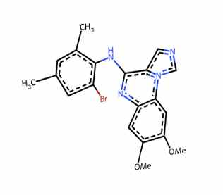 COc1cc2nc(Nc3c(C)cc(C)cc3Br)c3cncn3c2cc1OC